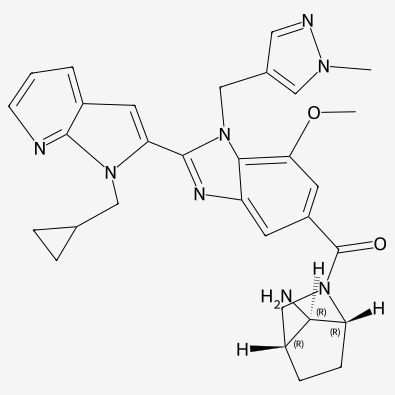 COc1cc(C(=O)N2C[C@H]3CC[C@@H]2[C@@H]3N)cc2nc(-c3cc4cccnc4n3CC3CC3)n(Cc3cnn(C)c3)c12